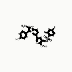 COc1ncc(-c2ccc3nc(N)c(-c4ccc(C#N)cc4)n3c2)cc1NS(=O)(=O)c1ccc(F)cc1F